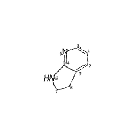 [c]1ccc2c(n1)NCC2